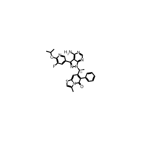 Cc1csc2cc([C@H](C)n3nc(-c4cnc(OC(C)C)c(F)c4)c4c(N)ncnc43)c(-c3ccccc3)c(=O)n12